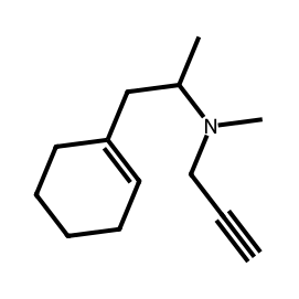 C#CCN(C)C(C)CC1=CCCCC1